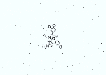 COc1ccc(C(O)CN(CC2CC2)C(=O)c2nc(N)sc2-c2cccc(Cl)c2)cc1OC